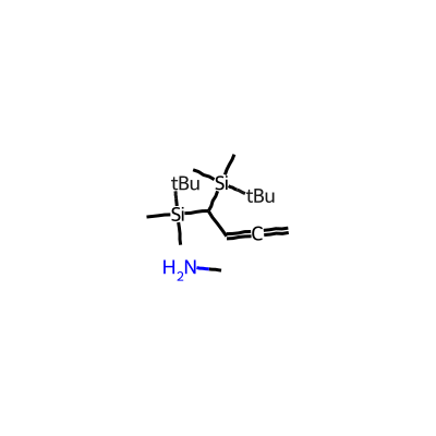 C=C=CC([Si](C)(C)C(C)(C)C)[Si](C)(C)C(C)(C)C.CN